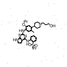 Cc1cc(Nc2nc(Nc3ccccc3S(=O)(=O)C(C)C)c3cc[nH]c3n2)c(OC(C)C)cc1C1CCN(CCCO)CC1